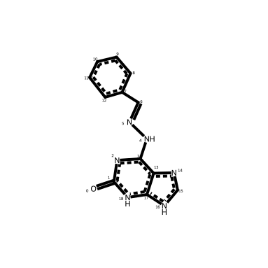 O=c1nc(NN=Cc2ccccc2)c2nc[nH]c2[nH]1